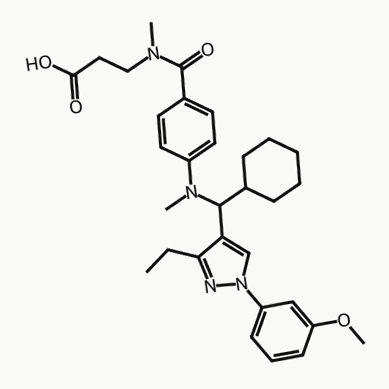 CCc1nn(-c2cccc(OC)c2)cc1C(C1CCCCC1)N(C)c1ccc(C(=O)N(C)CCC(=O)O)cc1